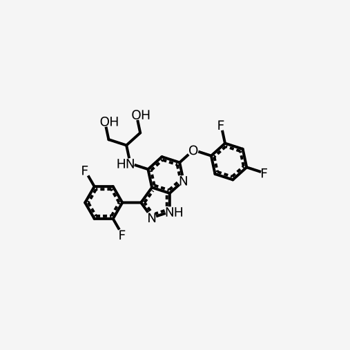 OCC(CO)Nc1cc(Oc2ccc(F)cc2F)nc2[nH]nc(-c3cc(F)ccc3F)c12